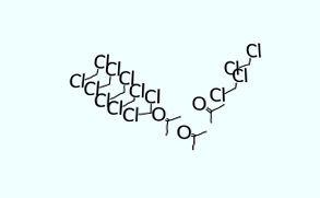 CC(C)=O.CC(C)=O.CC(C)=O.ClCCl.ClCCl.ClCCl.ClCCl.ClCCl.ClCCl.ClCCl